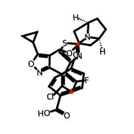 O=C(O)c1ccc(-c2csc(N3[C@@H]4CC[C@H]3CC(OCc3c(-c5c(Cl)cccc5Cl)noc3C3CC3)C4)n2)c(F)c1